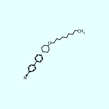 CCCCCCCCCO[C@H]1CC[C@H](c2ccc(-c3ccc(C#N)cc3)cc2)CC1